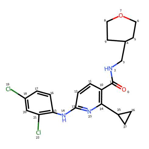 O=C(NCC1CCOCC1)c1ccc(Nc2ccc(Cl)cc2Cl)nc1C1CC1